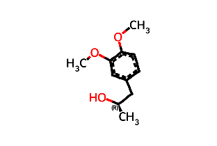 COc1ccc(C[C@@H](C)O)cc1OC